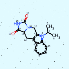 CC(C)n1c2c(c3ccccc31)CC1C(=O)NC(=O)N1C2